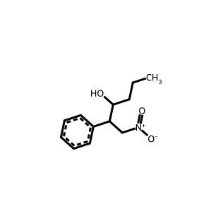 CCCC(O)C(C[N+](=O)[O-])c1ccccc1